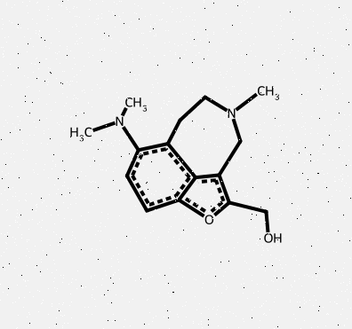 CN1CCc2c(N(C)C)ccc3oc(CO)c(c23)C1